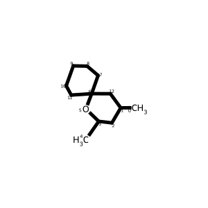 CC1CC(C)OC2(CCCCC2)C1